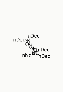 CCCCCCCCCCCCN(CCCCCCCCCCCC)CC(=O)N1CCN(C(=O)CN(CCCCCCCCC)N(CCCCCCCCCCCC)CCCCCCCCCCCC)CC1